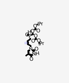 Cc1cn(C/C=C\C[PH](=O)C(OC(=O)OC(C)C)OC(=O)OC(C)C)c(=O)[nH]c1=O